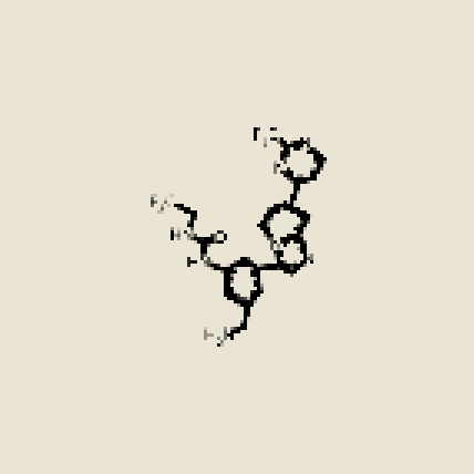 NCc1cc(NC(=O)NCC(F)(F)F)cc(-c2cnc3cc(-c4ccnc(C(F)(F)F)n4)ccn23)c1